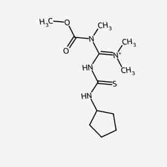 COC(=O)N(C)C(NC(=S)NC1CCCC1)=[N+](C)C